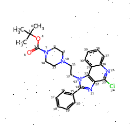 CC(C)(C)OC(=O)N1CCN(CCn2c(-c3ccccc3)nc3c(Cl)nc4ccccc4c32)CC1